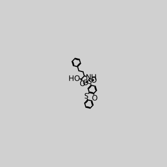 O=C(O)C(CCc1ccccc1)NS(=O)(=O)c1ccc2c(c1)Sc1ccccc1O2